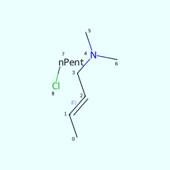 C/C=C/CN(C)C.CCCCCCl